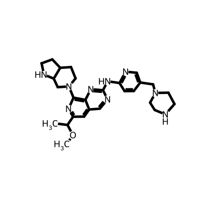 COC(C)c1cc2cnc(Nc3ccc(CN4CCNCC4)cn3)nc2c(N2CCC3CCNC3C2)n1